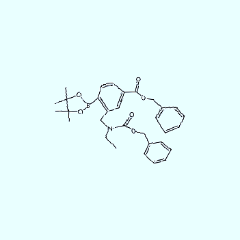 CCN(Cc1cc(C(=O)OCc2ccccc2)ccc1B1OC(C)(C)C(C)(C)O1)C(=O)OCc1ccccc1